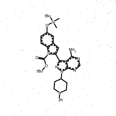 CC(C)N1CCC(n2nc(-c3cc4cc(O[Si](C)(C)C(C)(C)C)ccc4n3C(=O)OC(C)(C)C)c3c(N)ncnc32)CC1